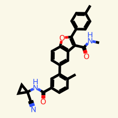 CNC(=O)c1c(-c2ccc(C)cc2)oc2ccc(-c3cc(C(=O)NC4(C#N)CC4)ccc3C)cc12